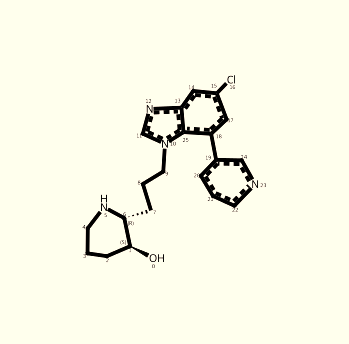 O[C@H]1CCCN[C@@H]1CCCn1cnc2cc(Cl)cc(-c3cccnc3)c21